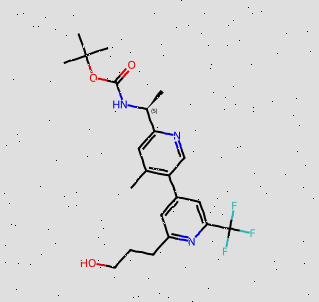 Cc1cc([C@H](C)NC(=O)OC(C)(C)C)ncc1-c1cc(CCCO)nc(C(F)(F)F)c1